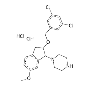 COc1ccc2c(c1)C(N1CCNCC1)C(OCc1cc(Cl)cc(Cl)c1)C2.Cl.Cl